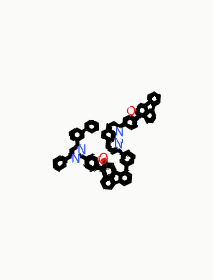 c1ccc(-c2cccc(-c3cc(-c4ccccc4)nc(-c4ccc5c(c4)oc4cc6c7c(cccc7c45)-c4cccc(-c5cccc(-c7ccc8ccc9ccc(-c%10ccc%11c(c%10)oc%10cc%12c%13c(cccc%13c%10%11)-c%10ccccc%10-%12)nc9c8n7)c5)c4-6)n3)c2)cc1